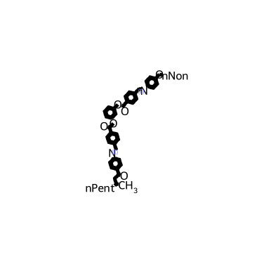 CCCCCCCCCOc1ccc(/N=C/c2ccc(C(=O)Oc3cccc(OC(=O)c4ccc(/C=N/c5ccc(C(=O)CC(C)CCCCC)cc5)cc4)c3)cc2)cc1